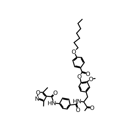 CCCCCCCOc1ccc(C(=O)Oc2ccc(CC(NC(=O)c3ccc(NC(=O)c4c(C)noc4C)cc3)C(C)=O)cc2OC)cc1